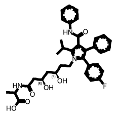 CC(NC(=O)C[C@H](O)C[C@H](O)CCn1c(-c2ccc(F)cc2)c(-c2ccccc2)c(C(=O)Nc2ccccc2)c1C(C)C)C(=O)O